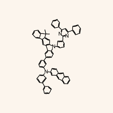 CC1(C)c2ccccc2-c2cc3c4cc(-c5cccc(N(c6cccc(-c7ccccc7)c6)c6ccc7cc8ccccc8cc7c6)c5)ccc4n(-c4cccc(-c5nc(-c6ccccc6)cc(-c6ccccc6)n5)c4)c3cc21